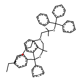 CCCCCNCCN(CC(C)(C)SC(c1ccccc1)(c1ccccc1)c1ccccc1)CC(C)(C)SC(c1ccccc1)(c1ccccc1)c1ccccc1